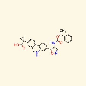 CC(OC(=O)Nc1cnoc1-c1ccc2c(c1)NCc1cc(C3(C(=O)O)CC3)ccc1-2)c1ccccc1